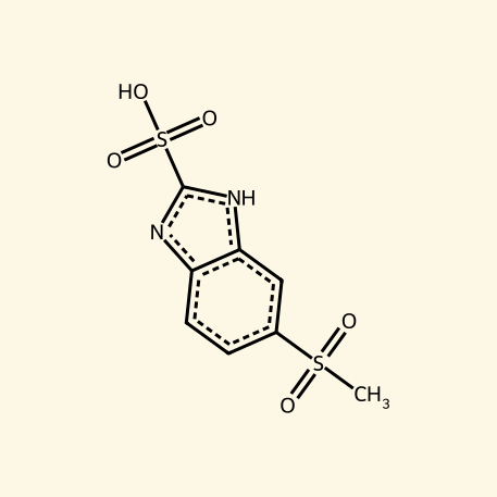 CS(=O)(=O)c1ccc2nc(S(=O)(=O)O)[nH]c2c1